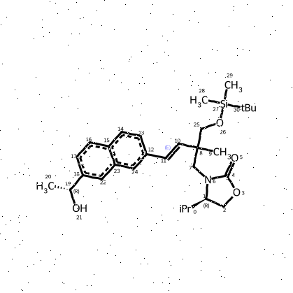 CC(C)[C@@H]1COC(=O)N1CC(C)(/C=C/c1ccc2ccc([C@@H](C)O)cc2c1)CO[Si](C)(C)C(C)(C)C